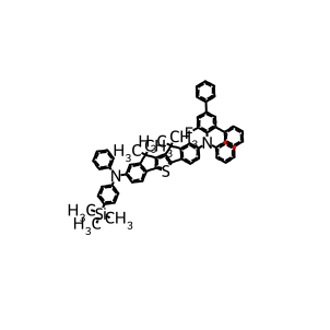 CC1(C)c2cc(N(c3ccccc3)c3ccc([Si](C)(C)C)cc3)ccc2-c2sc3c(c21)C(C)(C)c1cc(N(c2ccccc2)c2c(F)cc(-c4ccccc4)cc2-c2ccccc2)ccc1-3